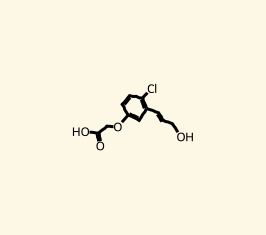 O=C(O)COc1ccc(Cl)c(C=CCO)c1